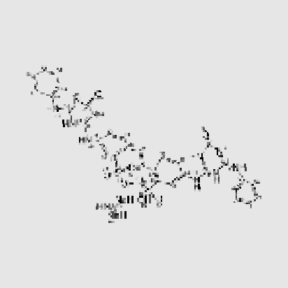 O=c1nc(Nc2ccccc2)[nH]c(Nc2ccc(C=Cc3ccc(Nc4nc(=O)nc(Nc5ccccc5)[nH]4)cc3S(=O)(=O)O)c(S(=O)(=O)O)c2)n1.[NaH].[NaH].[NaH]